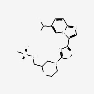 CS(=O)(=O)NCC1CN(c2nc(-c3cnc4ccc(C(F)F)cn34)ns2)CCO1